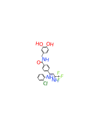 N=C(/C=C(\Nc1ccccc1Cl)c1ccc(C(=O)NCc2ccc(O)c(O)c2)cc1)C(F)(F)F